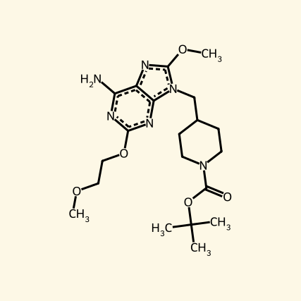 COCCOc1nc(N)c2nc(OC)n(CC3CCN(C(=O)OC(C)(C)C)CC3)c2n1